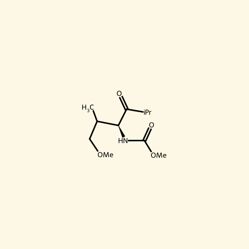 COCC(C)[C@H](NC(=O)OC)C(=O)C(C)C